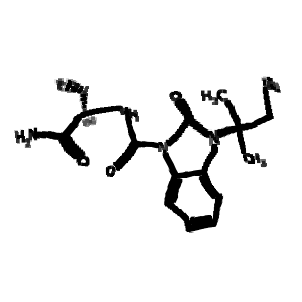 CC(C)(C)CC(C)(C)n1c(=O)n(C(=O)N[C@H](C(N)=O)C(C)(C)C)c2ccccc21